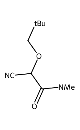 CNC(=O)C(C#N)OCC(C)(C)C